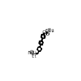 CCCCC(=O)Oc1ccc(-c2ccc(C3CCC(CC(CC)CCCC)CC3)cc2)cc1